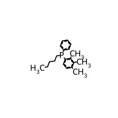 CCCCCP(c1ccccc1)c1ccc(C)c(C)c1C